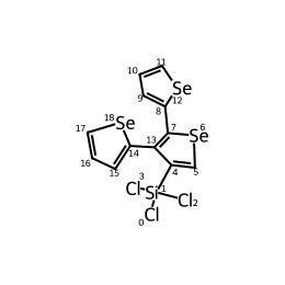 Cl[Si](Cl)(Cl)c1c[se]c(-c2ccc[se]2)c1-c1ccc[se]1